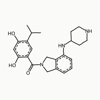 CC(C)c1cc(C(=O)N2Cc3cccc(NC4CCNCC4)c3C2)c(O)cc1O